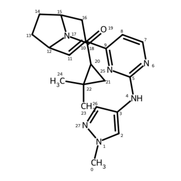 Cn1cc(Nc2nccc(C3=CC4CCC(C3)N4C(=O)C3CC3(C)C)n2)cn1